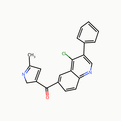 CC1=NCC(C(=O)c2ccc3ncc(-c4ccccc4)c(Cl)c3c2)=C1